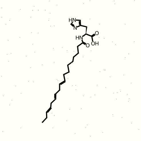 CCC=CCC=CCC=CCCCCCCCC(=O)N[C@@H](Cc1c[nH]cn1)C(=O)O